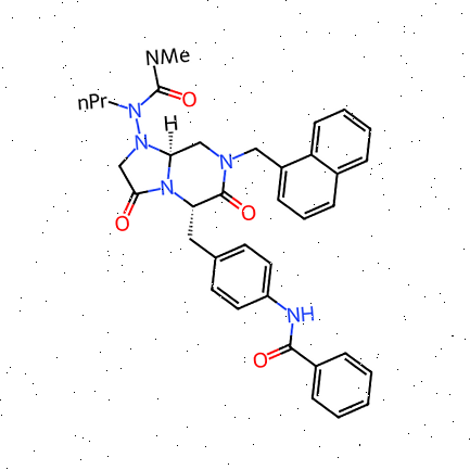 CCCN(C(=O)NC)N1CC(=O)N2[C@@H](Cc3ccc(NC(=O)c4ccccc4)cc3)C(=O)N(Cc3cccc4ccccc34)C[C@@H]21